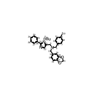 CCCCn1c(CN(Cc2ccc(I)cc2)Cc2ccc3c(c2)OCO3)cnc1-c1ccccc1